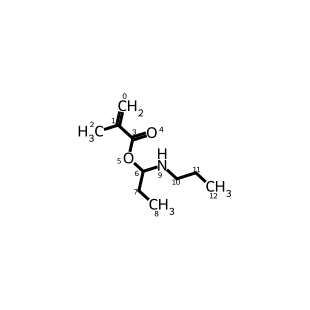 C=C(C)C(=O)OC(CC)NCCC